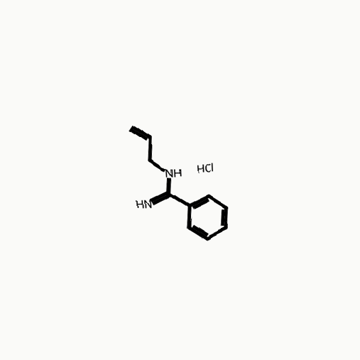 C=CCNC(=N)c1ccccc1.Cl